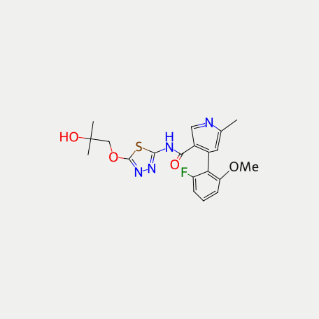 COc1cccc(F)c1-c1cc(C)ncc1C(=O)Nc1nnc(OCC(C)(C)O)s1